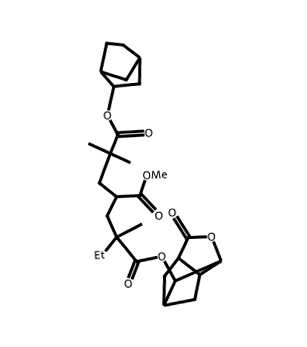 CCC(C)(CC(CC(C)(C)C(=O)OC1CC2CCC1C2)C(=O)OC)C(=O)OC1C2CC3C(=O)OC1C3C2